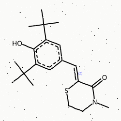 CN1CCS/C(=C\c2cc(C(C)(C)C)c(O)c(C(C)(C)C)c2)C1=O